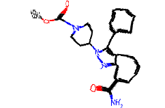 CC(C)(C)OC(=O)N1CCC(n2nc3c(C(N)=O)cccc3c2-c2ccccc2)CC1